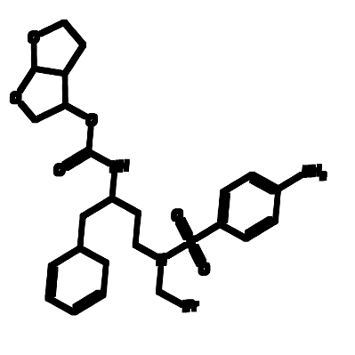 CC(C)CN(CCC(CC1C=CC=CC1)NC(=O)OC1COC2OCCC12)S(=O)(=O)c1ccc(N)cc1